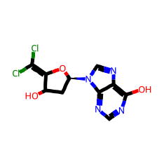 Oc1ncnc2c1ncn2[C@H]1CC(O)C(=C(Cl)Cl)O1